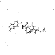 O=C1COc2ccc(CNC(=O)c3ncnc4c(C(=O)NCC5CC5)c[nH]c34)cc2N1